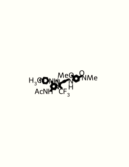 CNC(=O)c1ccc(NCC#Cc2nc3c(NC4CCN(C)CC4)cc(NC(C)=O)cn3c2CC(F)(F)F)c(OC)c1